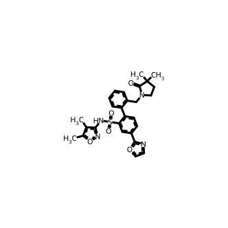 Cc1onc(NS(=O)(=O)c2cc(-c3ncco3)ccc2-c2ccccc2CN2CCC(C)(C)C2=O)c1C